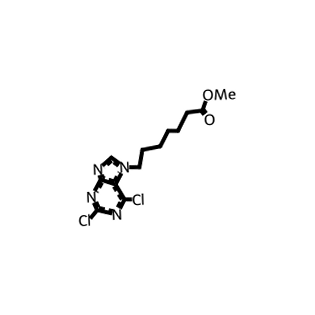 COC(=O)CCCCCCn1cnc2nc(Cl)nc(Cl)c21